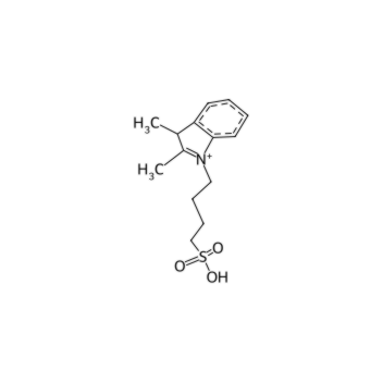 CC1=[N+](CCCCS(=O)(=O)O)c2ccccc2C1C